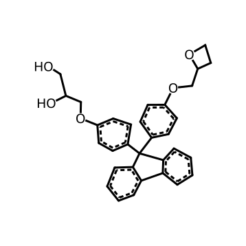 OCC(O)COc1ccc(C2(c3ccc(OCC4CCO4)cc3)c3ccccc3-c3ccccc32)cc1